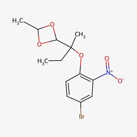 CCC(C)(Oc1ccc(Br)cc1[N+](=O)[O-])C1OC(C)O1